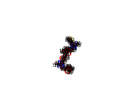 c1ccc(-c2nc(-c3cccc(-c4ccc5c(c4)Oc4ccccc4C54c5ccccc5-c5ccccc54)c3)nc(-c3ccc4c(c3)oc3cc(-c5ccc6c(c5)Oc5cc(-c7cccc(-c8nc(-c9ccccc9)nc(-c9ccc%10c(c9)sc9ccccc9%10)n8)c7)ccc5C65c6ccccc6-c6ccccc65)ccc34)n2)cc1